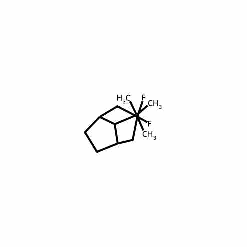 CC(C)(C)C1C2CCC1CC(F)(F)C2